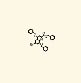 O=C(OCc1ccccc1)c1cc(OCc2ccccc2)c2cc(Br)cc(OCc3ccccc3)c2n1